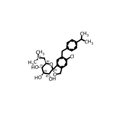 CC(C)c1ccc(Cc2cc3c(cc2Cl)CO[C@]32O[C@H](CN(C)C)[C@@H](O)[C@H](O)[C@H]2O)cc1